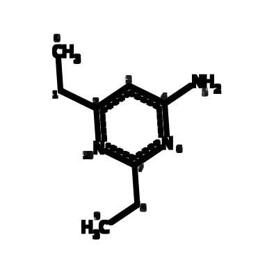 CCc1cc(N)nc(CC)n1